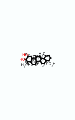 CC1CCCC2(C(=O)O)CCC3C(=CCC4C3(C)CC[C@H]3C(C)C(O)[C@H](O)CC43C)C12